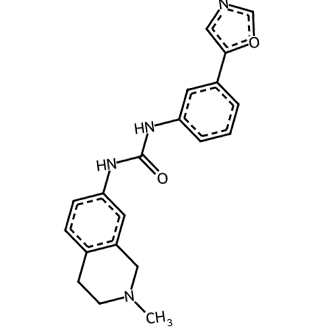 CN1CCc2ccc(NC(=O)Nc3cccc(-c4cnco4)c3)cc2C1